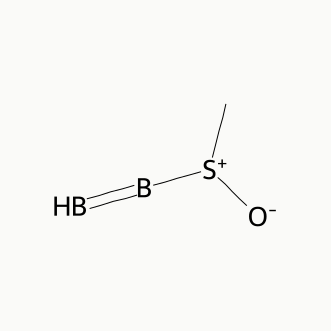 B=B[S+](C)[O-]